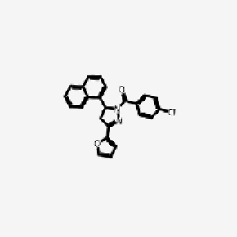 O=C(c1ccc(Cl)cc1)N1N=C(c2ccco2)CC1c1cccc2ccccc12